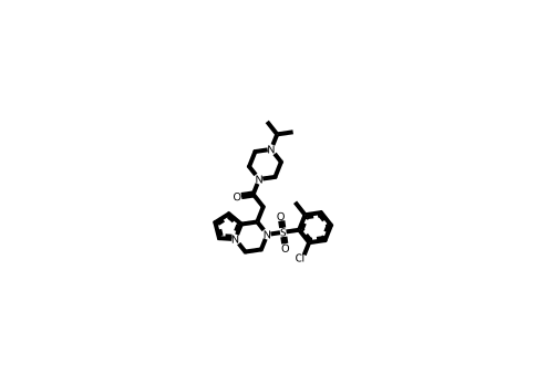 Cc1cccc(Cl)c1S(=O)(=O)N1CCn2cccc2C1CC(=O)N1CCN(C(C)C)CC1